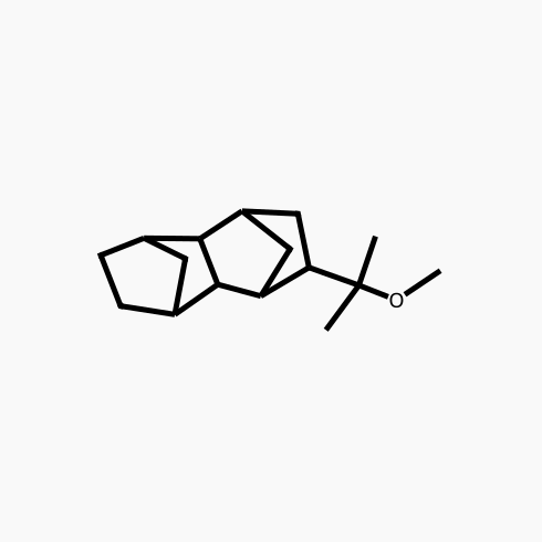 COC(C)(C)C1CC2CC1C1C3CCC(C3)C21